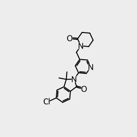 CC1(C)c2cc(Cl)ccc2C(=O)N1c1cncc(CN2CCCCC2=O)c1